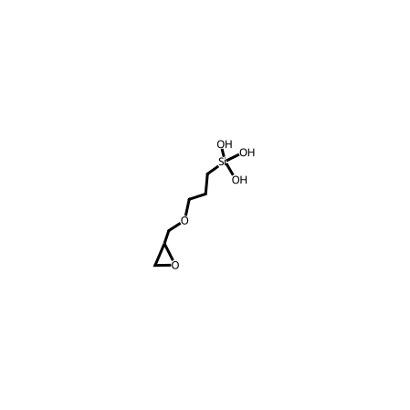 O[Si](O)(O)CCCOCC1CO1